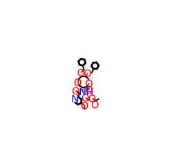 COc1ccnc(C(=O)N[C@H]2COC[C@H](OCc3ccccc3)[C@@H](OCc3ccccc3)[C@H](C)OC2=O)c1OCOC(C)=O